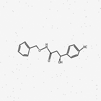 [C-]#[N+]c1ccc([C@@H](O)CC(=O)NOCc2ccccc2)cc1